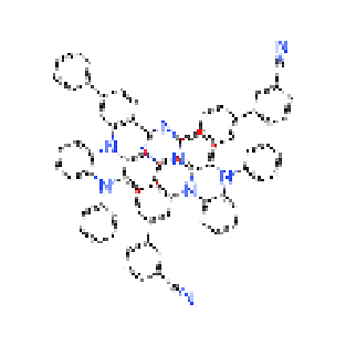 N#Cc1cccc(-c2ccc(-c3nc(-c4ccc(-c5ccccc5)cc4N4c5ccccc5N(c5ccccc5)c5ccccc54)nc(-c4ccc(-c5cccc(C#N)c5)cc4N4c5ccccc5N(c5ccccc5)c5ccccc54)n3)cc2)c1